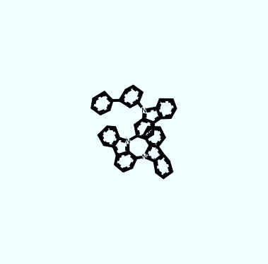 c1ccc(-c2cccc(-n3c4ccccc4c4ccc(-n5c6ccccc6c6cccc(-n7c8ccccc8c8ccccc87)c65)cc43)c2)cc1